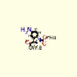 COC(=O)C1CN(C(=O)OC(C)(C)C)c2ccc(N)cc21